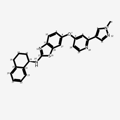 Cn1cc(-c2cc(Oc3ccc4nc(N[C@@H]5CCCc6ccccc65)sc4c3)ccn2)cn1